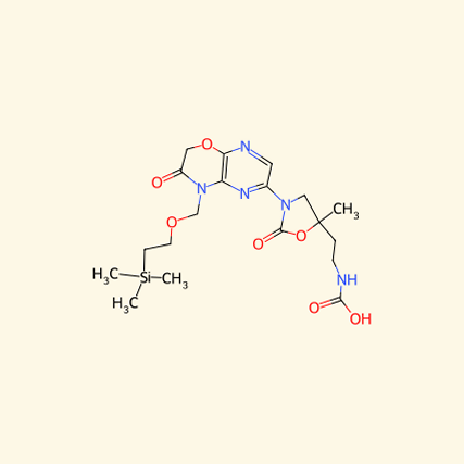 CC1(CCNC(=O)O)CN(c2cnc3c(n2)N(COCC[Si](C)(C)C)C(=O)CO3)C(=O)O1